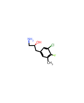 Cc1cc(C[C@H](O)CN)cc(Cl)c1F